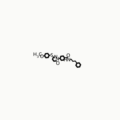 COc1ccc(Sc2ccc(=O)n(-c3ccc(C(=O)NCCCc4ccccc4)cc3)n2)cc1